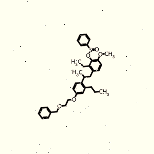 CCCc1cc(OCCOCc2ccccc2)ccc1C(C)Cc1ccc(OC)c(OS(=O)c2ccccc2)c1CC